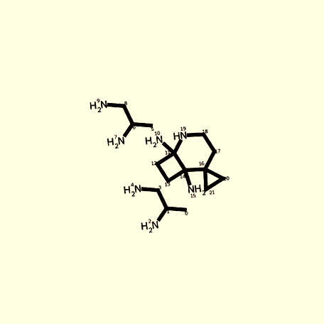 CC(N)CN.CC(N)CN.NC12CCC1(N)C1(CCN2)CC1